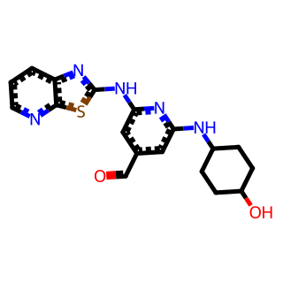 O=Cc1cc(Nc2nc3cccnc3s2)nc(NC2CCC(O)CC2)c1